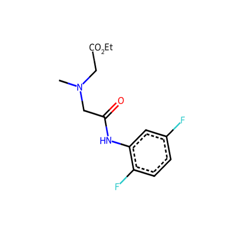 CCOC(=O)CN(C)CC(=O)Nc1cc(F)ccc1F